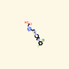 O=C(O)Cn1nnc(-c2cnc(N3CCC4(CC3)CN(c3cc(F)ccc3Cl)C4)s2)n1